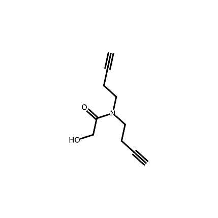 C#CCCN(CCC#C)C(=O)CO